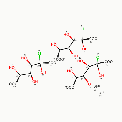 O=C([O-])[C@@H](O)[C@H](O)[C@@H](O)[C@@](O)(Cl)C(=O)[O-].O=C([O-])[C@@H](O)[C@H](O)[C@@H](O)[C@@](O)(Cl)C(=O)[O-].O=C([O-])[C@@H](O)[C@H](O)[C@@H](O)[C@@](O)(Cl)C(=O)[O-].[Al+3].[Al+3]